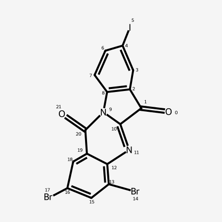 O=C1c2cc(I)ccc2-n2c1nc1c(Br)cc(Br)cc1c2=O